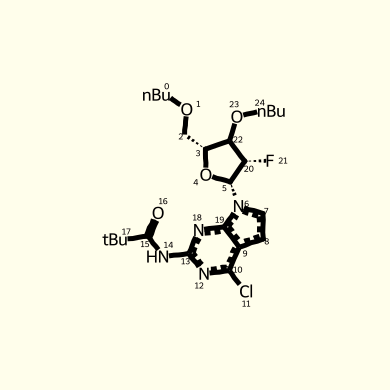 CCCCOC[C@H]1O[C@@H](n2ccc3c(Cl)nc(NC(=O)C(C)(C)C)nc32)[C@@H](F)C1OCCCC